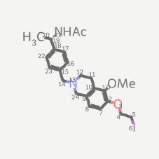 COc1c(OCCI)ccc2c1CCN(Cc1ccc([C@H](C)NC(C)=O)cc1)C2